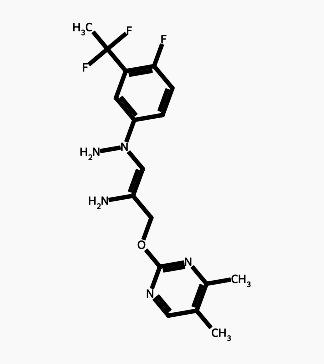 Cc1cnc(OC/C(N)=C/N(N)c2ccc(F)c(C(C)(F)F)c2)nc1C